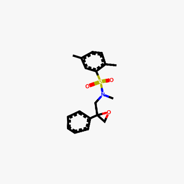 Cc1ccc(C)c(S(=O)(=O)N(C)CC2(c3ccccc3)CO2)c1